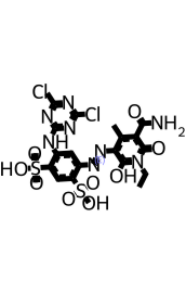 CCn1c(O)c(/N=N/c2cc(Nc3nc(Cl)nc(Cl)n3)c(S(=O)(=O)O)cc2S(=O)(=O)O)c(C)c(C(N)=O)c1=O